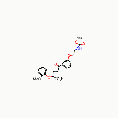 COc1ccccc1OC(C=CC(=O)c1cccc(OCCNC(=O)OC(C)(C)C)c1)C(=O)O